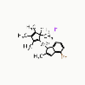 CC1=Cc2c(Br)cccc2[CH]1[Zr+2][C]1=C(C)C(C)=C(C)C1(C)C.[I-].[I-]